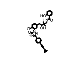 CC(C)(CNC(=O)c1ccccc1O)C(O)Cc1ccc(Cl)c(-n2nc(-c3ccc(C#CC4CC4)cc3)[nH]c2=O)c1